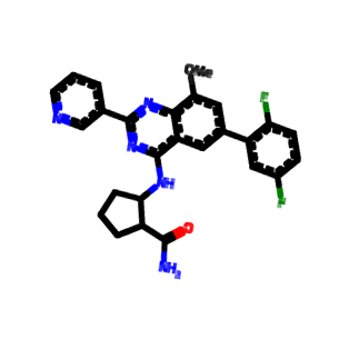 COc1cc(-c2cc(F)ccc2F)cc2c(NC3CCCC3C(N)=O)nc(-c3cccnc3)nc12